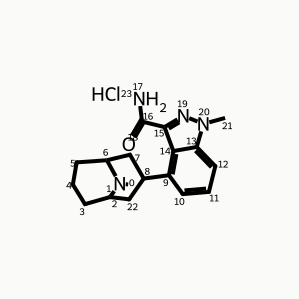 CN1C2CCCC1CC(c1cccc3c1c(C(N)=O)nn3C)C2.Cl